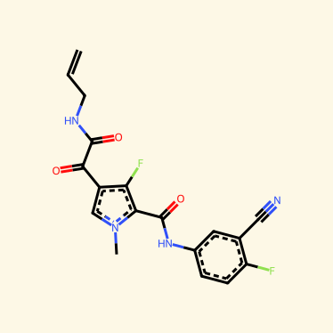 C=CCNC(=O)C(=O)c1cn(C)c(C(=O)Nc2ccc(F)c(C#N)c2)c1F